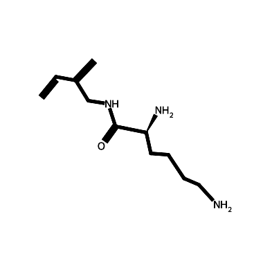 C=CC(=C)CNC(=O)[C@@H](N)CCCCN